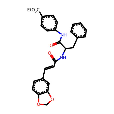 CCOC(=O)c1ccc(NC(=O)C(Cc2ccccc2)NC(=O)C=Cc2ccc3c(c2)OCO3)cc1